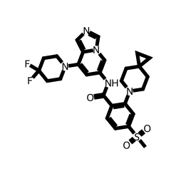 CS(=O)(=O)c1ccc(C(=O)Nc2cc(N3CCC(F)(F)CC3)c3cncn3c2)c(N2CCC3(CC2)CC3)c1